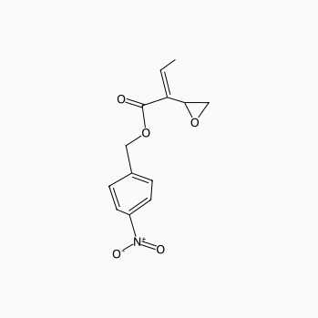 CC=C(C(=O)OCc1ccc([N+](=O)[O-])cc1)C1CO1